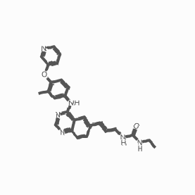 CCNC(=O)NC/C=C/c1ccc2ncnc(Nc3ccc(Oc4cccnc4)c(C)c3)c2c1